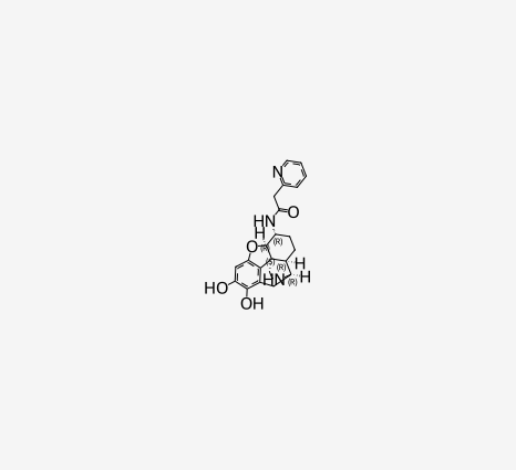 O=C(Cc1ccccn1)N[C@@H]1CC[C@H]2[C@H]3Cc4c(O)c(O)cc5c4[C@@]2(CCN3)[C@H]1O5